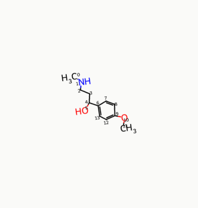 CNCCC(O)c1ccc(OC)cc1